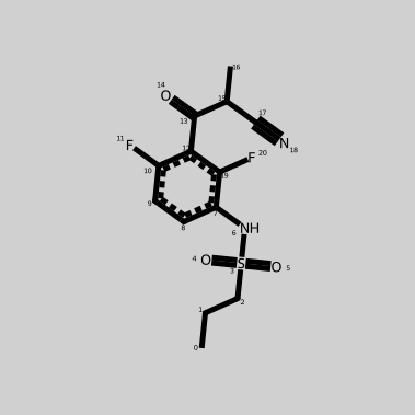 CCCS(=O)(=O)Nc1ccc(F)c(C(=O)C(C)C#N)c1F